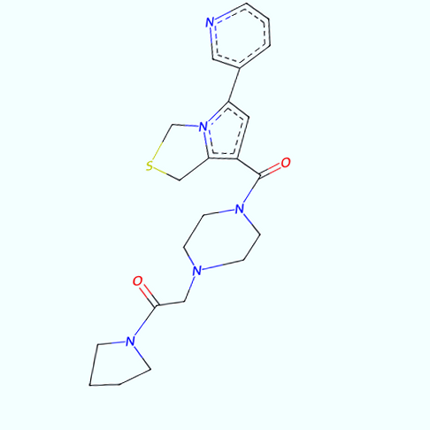 O=C(CN1CCN(C(=O)c2cc(-c3cccnc3)n3c2CSC3)CC1)N1CCCC1